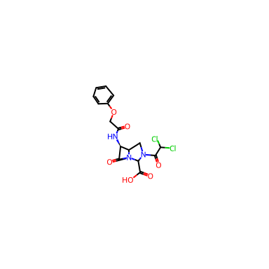 O=C(COc1ccccc1)N[C@@H]1C(=O)N2C1CN(C(=O)C(Cl)Cl)C2C(=O)O